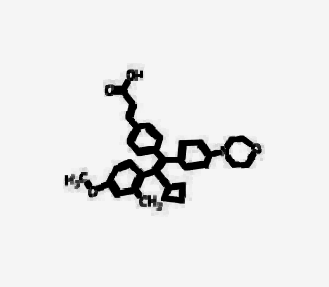 COc1ccc(/C(=C(\c2ccc(/C=C/C(=O)O)cc2)c2ccc(N3CCOCC3)cc2)C2CCC2)c(C)c1